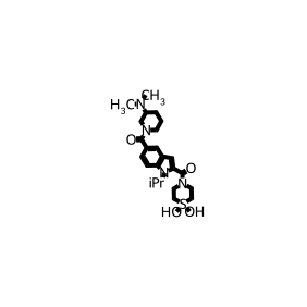 CC(C)n1c(C(=O)N2CCS(O)(O)CC2)cc2cc(C(=O)N3CCCC(N(C)C)C3)ccc21